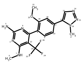 CNc1nc(N)nc(-c2ccc(-c3cnnn3C)cc2OC)c1C(F)(F)F